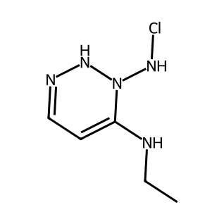 CCNC1=CC=NNN1NCl